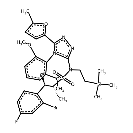 COc1cccc(OC)c1-n1c(-c2ccc(C)o2)nnc1N(CC[Si](C)(C)C)S(=O)(=O)[C@H](C)[C@H](O)c1ccc(F)cc1Br